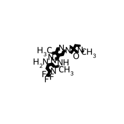 Cc1nnc(NC(C)c2cc(N)cc(C(F)(F)F)n2)c2cc(N3CC4(CCN(C)C4=O)C3)ncc12